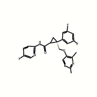 Cc1ncc(OC[C@@]2(c3cc(F)cc(F)c3)CC2C(=O)Nc2ccc(F)cn2)c(C)n1